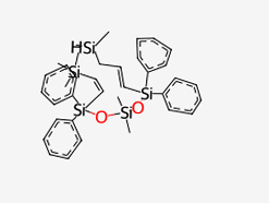 C[SiH](C)CC=C[Si](O[Si](C)(C)O[Si](C=C[Si](C)(C)C)(c1ccccc1)c1ccccc1)(c1ccccc1)c1ccccc1